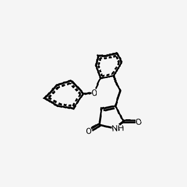 O=C1C=C(Cc2ccccc2Oc2ccccc2)C(=O)N1